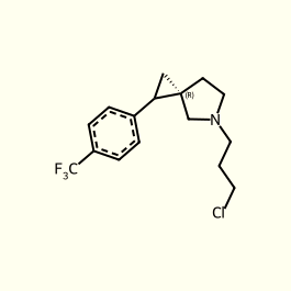 FC(F)(F)c1ccc(C2C[C@@]23CCN(CCCCl)C3)cc1